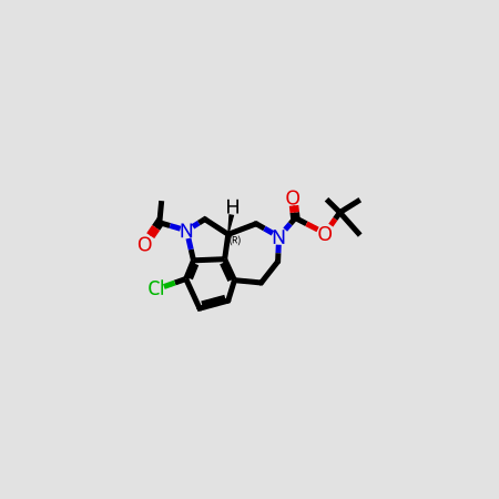 CC(=O)N1C[C@@H]2CN(C(=O)OC(C)(C)C)CCc3ccc(Cl)c1c32